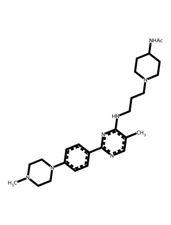 CC(=O)NC1CCN(CCCNc2nc(-c3ccc(N4CCN(C)CC4)cc3)ncc2C)CC1